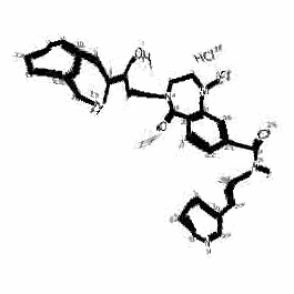 CCN1CCN(CC(O)C2Cc3ccccc3CN2)C(=O)c2ccc(C(=O)N(C)CCc3cccnc3)cc21.Cl